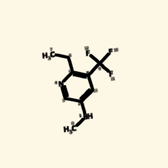 CBc1cnc(CC)c(C(F)(F)F)c1